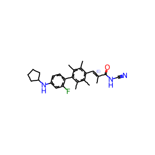 C/C(=C\c1c(C)c(C)c(-c2ccc(NC3CCCC3)cc2F)c(C)c1C)C(=O)NC#N